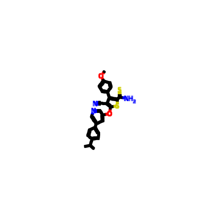 COc1ccc(-c2c(C(N)=S)sc(Oc3cncc(-c4ccc(C(C)C)cc4)c3)c2C#N)cc1